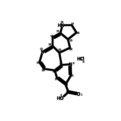 Cl.O=C(O)c1cnc2c(c1)C=CN=C1C=C3NCCC3CC12